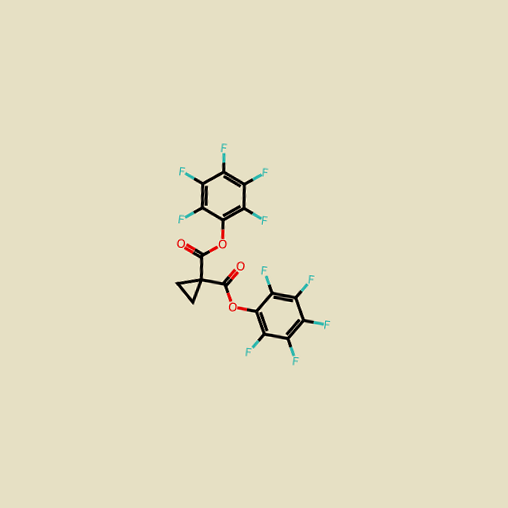 O=C(Oc1c(F)c(F)c(F)c(F)c1F)C1(C(=O)Oc2c(F)c(F)c(F)c(F)c2F)CC1